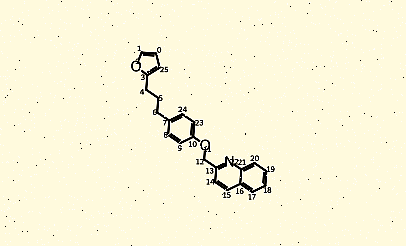 c1coc(CCCc2ccc(OCc3ccc4ccccc4n3)cc2)c1